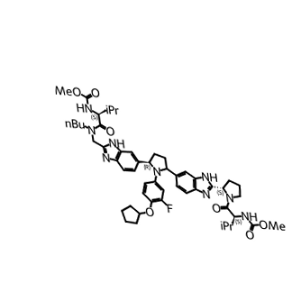 CCCCN(Cc1nc2ccc([C@H]3CCC(c4ccc5nc([C@@H]6CCCN6C(=O)[C@@H](NC(=O)OC)C(C)C)[nH]c5c4)N3c3ccc(OC4CCCC4)c(F)c3)cc2[nH]1)C(=O)[C@@H](NC(=O)OC)C(C)C